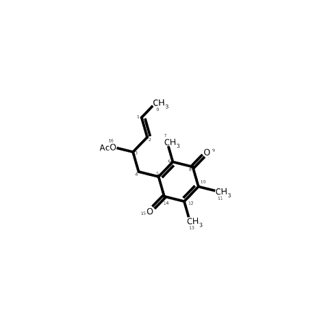 CC=CC(CC1=C(C)C(=O)C(C)=C(C)C1=O)OC(C)=O